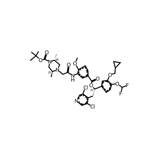 COc1ccc(C(=O)O[C@@H](Cc2c(Cl)cncc2Cl)c2ccc(OC(F)F)c(OCC3CC3)c2)cc1NC(=O)CN1C[C@@H](C)N(C(=O)OC(C)(C)C)C[C@@H]1C